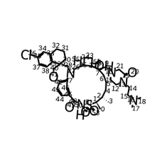 C[C@@H]1[C@@H](C)CCC[C@](O)(CN2CCN(CCN(C)C)C(=O)C2)[C@@H]2CC[C@H]2CN2C[C@@]3(CCCc4cc(Cl)ccc43)COc3ccc(cc32)C(=O)NS1(=O)=O